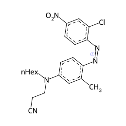 CCCCCCN(CCC#N)c1ccc(/N=N\c2ccc([N+](=O)[O-])cc2Cl)c(C)c1